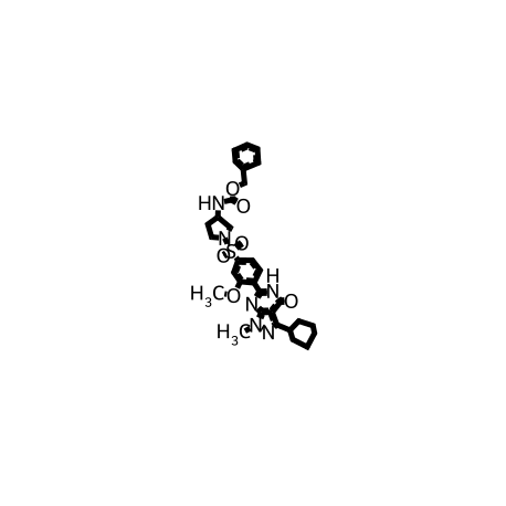 COc1cc(S(=O)(=O)N2CCC(NC(=O)OCc3ccccc3)C2)ccc1-c1nc2c(c(C3CCCCC3)nn2C)c(=O)[nH]1